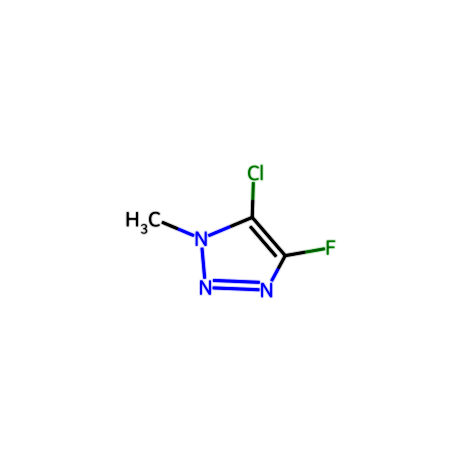 Cn1nnc(F)c1Cl